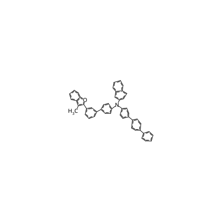 Cc1c(-c2cccc(-c3ccc(N(c4ccc(-c5ccc(-c6ccccc6)cc5)cc4)c4ccc5ccccc5c4)cc3)c2)oc2ccccc12